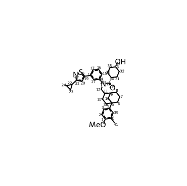 COc1ccc(C23CCCC(C2)C(CN(c2cccc(-c4cc(C5CC5)ns4)c2)C(=O)[C@H]2CC[C@H](O)CC2)CC3)cc1C